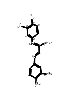 CCCCCCC(C=Nc1ccc(CCCC)c(CCCC)c1)=Nc1ccc(CCCC)c(CCCC)c1